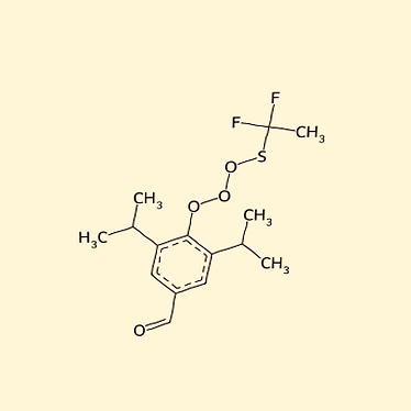 CC(C)c1cc(C=O)cc(C(C)C)c1OOOSC(C)(F)F